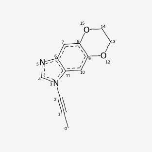 CC#Cn1cnc2cc3c(cc21)OCCO3